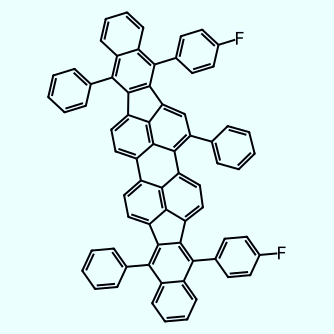 Fc1ccc(-c2c3c(c(-c4ccccc4)c4ccccc24)-c2ccc4c5ccc6c7c(cc(-c8ccccc8)c(c8ccc-3c2c48)c75)-c2c-6c(-c3ccccc3)c3ccccc3c2-c2ccc(F)cc2)cc1